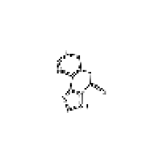 S=C1Cc2cncnc2-c2nc[nH]c21